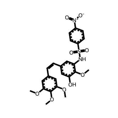 COc1cc(/C=C\c2cc(O)c(OC)c(NS(=O)(=O)c3ccc([N+](=O)[O-])cc3)c2)cc(OC)c1OC